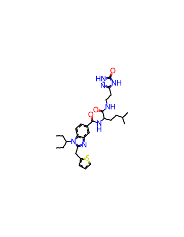 CCC(CC)n1c(Cc2cccs2)nc2cc(C(=O)NC(CCC(C)C)C(=O)NCCc3n[nH]c(=O)[nH]3)ccc21